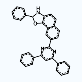 c1ccc(-c2cc(-c3ccccc3)nc(-c3ccc4ccc5c(c4c3)OC(c3ccccc3)N5)n2)cc1